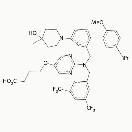 COc1ccc(C(C)C)cc1-c1ccc(N2CCC(C)(O)CC2)cc1CN(Cc1cc(C(F)(F)F)cc(C(F)(F)F)c1)c1ncc(OCCCC(=O)O)cn1